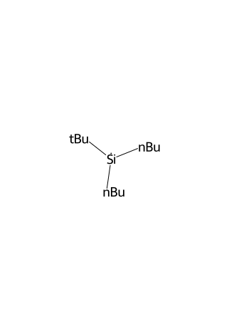 CCCC[Si](CCCC)C(C)(C)C